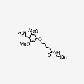 COc1cc(OCCCCC(=O)NCC(C)(C)C)cc(OC)c1CN